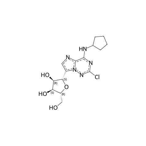 OC[C@H]1O[C@@H](c2cnc3c(NC4CCCC4)nc(Cl)nn23)[C@H](O)[C@@H]1O